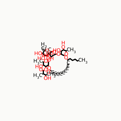 CCCCCC1CCCCCCCCCC(=O)OC2C(OC(C)C(O)C2OC(=O)C(C)C(C)O)OC2C(O)C(C)OC(OC3C(O1)OC(C)C(O)C3O)C2OC1OC(C)C(O)C(O)C1O